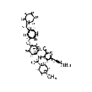 CC(C)(C)C#Cc1cc(N(C(=O)[C@H]2CC[C@H](C)CC2)[C@H]2CC[C@H](Oc3cncc(CN4CCCCC4)c3)CC2)c(C(=O)O)s1